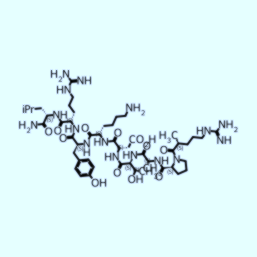 CC(C)C[C@H](NC(=O)[C@H](CCCNC(=N)N)NC(=O)[C@H](Cc1ccc(O)cc1)NC(=O)[C@H](CCCCN)NC(=O)[C@H](CC(=O)O)NC(=O)[C@@H](NC(=O)[C@H](C)NC(=O)[C@@H]1CCCN1C(=O)[C@@H](C)CCCNC(=N)N)[C@@H](C)O)C(N)=O